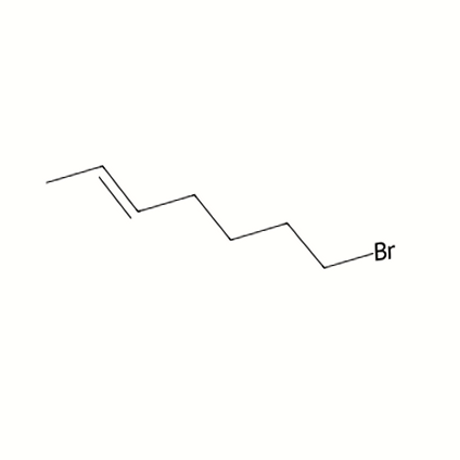 CC=CCCCCBr